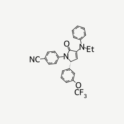 CCN(C1=C[C@H](c2cccc(OC(F)(F)F)c2)N(c2ccc(C#N)cc2)C1=O)c1ccccc1